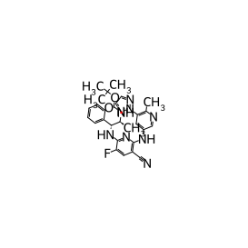 Cc1ncc(Nc2nc(N[C@H](c3ccccc3)[C@H](C)NC(=O)OC(C)(C)C)c(F)cc2C#N)cc1-n1nccn1